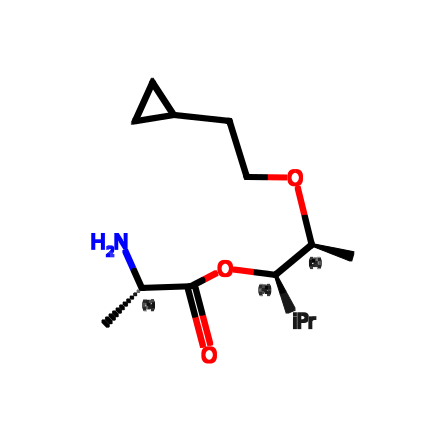 CC(C)[C@@H](OC(=O)[C@H](C)N)[C@H](C)OCCC1CC1